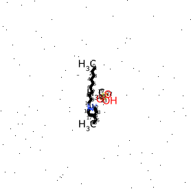 CCCCCCCCCCC[n+]1ccc(CC)cc1.CS(=O)(=O)O